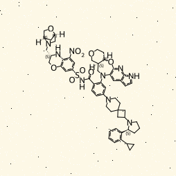 O=C(NS(=O)(=O)c1cc2c(c([N+](=O)[O-])c1)N[C@@H](CN1C[C@H]3C[C@@H]1CO3)CO2)c1ccc(N2CCC3(CC2)CC(N2CCC[C@H]2c2ccccc2C2CC2)C3)cc1N1C[C@H]2COCC[C@H]2Oc2nc3[nH]ccc3cc21